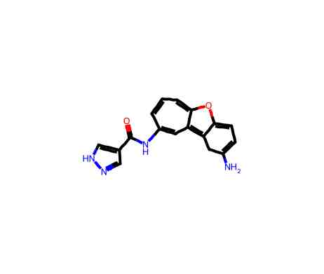 NC1=CC=c2oc3c(c2C1)C=C(NC(=O)c1cn[nH]c1)C=CC=3